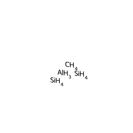 C.[AlH3].[SiH4].[SiH4]